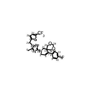 Cc1nc(N2CC=C(c3ccc(F)cc3)C3(COCOC3)C2)nn1Cc1ccc(C(F)(F)F)s1